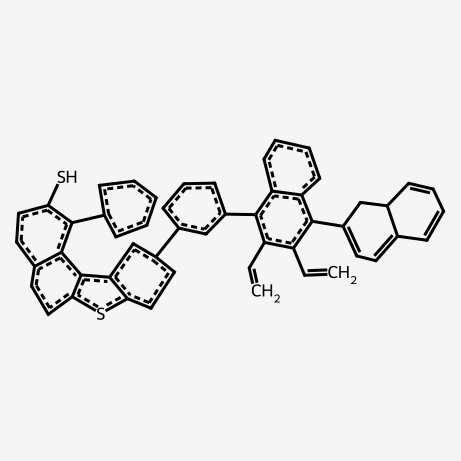 C=Cc1c(C=C)c(-c2cccc(-c3ccc4sc5ccc6ccc(S)c(-c7ccccc7)c6c5c4c3)c2)c2ccccc2c1C1=CC=C2C=CC=CC2C1